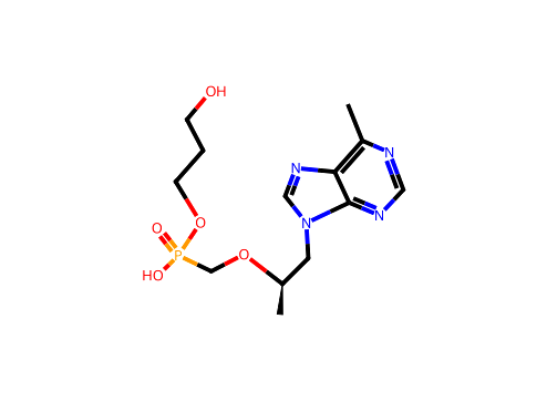 Cc1ncnc2c1ncn2C[C@@H](C)OCP(=O)(O)OCCCO